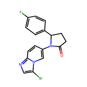 O=C1CCC(c2ccc(F)cc2)N1c1ccc2ncc(Br)n2c1